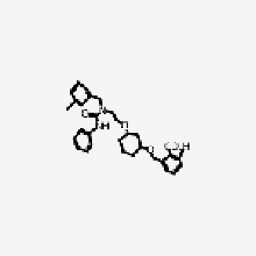 Cc1cccc(CN(CCO[C@H]2CCCC(OCc3cccc(C)c3C(=O)O)C2)C(=O)Nc2ccccc2)c1